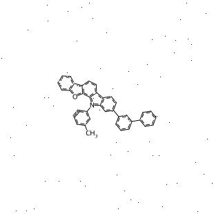 Cc1cc#cc(-n2c3cc(-c4cccc(-c5ccccc5)c4)ccc3c3ccc4c5ccccc5oc4c32)c1